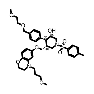 COCCCN1CCOc2ccc(OC[C@H]3CN(S(=O)(=O)c4ccc(C)cc4)C[C@@H](O)[C@@H]3c3ccc(COCCOC)cc3)cc21